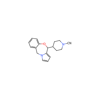 N#CN1CCC(C2Oc3ccccc3Cn3cccc32)CC1